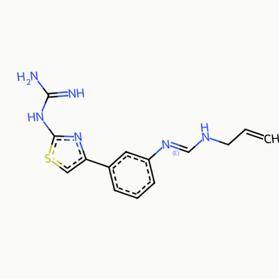 C=CCN/C=N/c1cccc(-c2csc(NC(=N)N)n2)c1